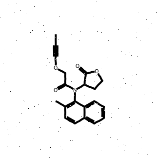 CC#COCC(=O)N(c1c(C)ccc2ccccc12)C1CCOC1=O